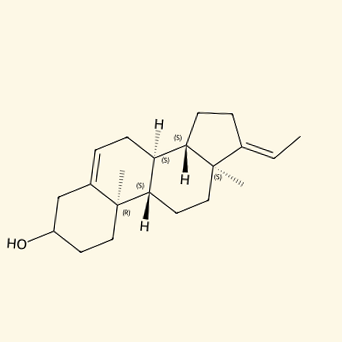 CC=C1CC[C@H]2[C@@H]3CC=C4CC(O)CC[C@]4(C)[C@H]3CC[C@]12C